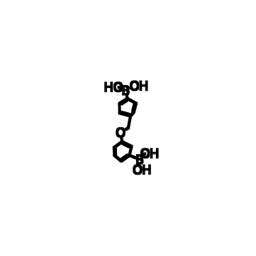 OB(O)c1ccc(COc2cccc(B(O)O)c2)cc1